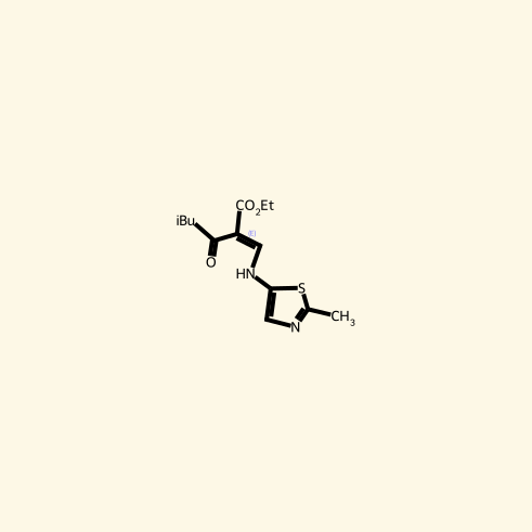 CCOC(=O)/C(=C/Nc1cnc(C)s1)C(=O)C(C)CC